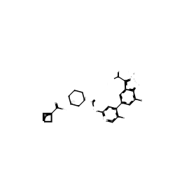 CC(C)c1c2cc(-c3cc(NC(=O)[C@H]4CCC[C@@H](NC(=O)C56CC(C5)C6)C4)ncc3Cl)cc(F)c2nn1C